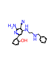 N#Cc1c(NCCNCc2ccccc2)cc(-c2ccccc2O)nc1N